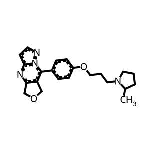 CC1CCCN1CCCOc1ccc(-c2c3c(nc4ccnn24)COC3)cc1